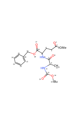 COC(=O)CCC(NC(=O)C(C)NC(=O)OC(C)(C)C)C(=O)OCc1ccccc1